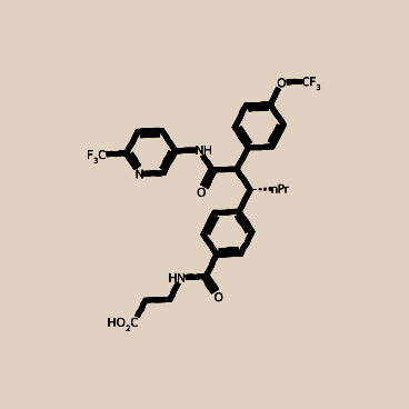 CCC[C@H](c1ccc(C(=O)NCCC(=O)O)cc1)C(C(=O)Nc1ccc(C(F)(F)F)nc1)c1ccc(OC(F)(F)F)cc1